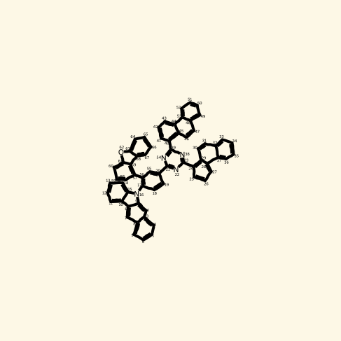 c1ccc2cc3c(cc2c1)c1ccccc1n3-c1ccc(-c2nc(-c3cccc4c3ccc3ccccc34)nc(-c3cccc4c3ccc3ccccc34)n2)cc1-c1cccc2oc3ccccc3c12